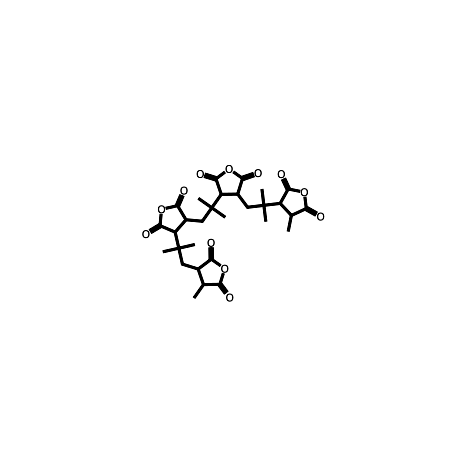 CC1C(=O)OC(=O)C1CC(C)(C)C1C(=O)OC(=O)C1CC(C)(C)C1C(=O)OC(=O)C1CC(C)(C)C1C(=O)OC(=O)C1C